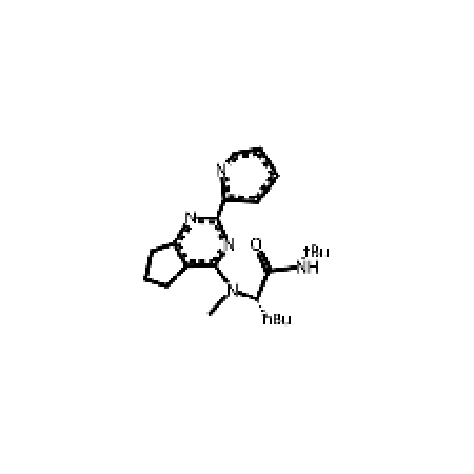 CCCC[C@@H](C(=O)NC(C)(C)C)N(C)c1nc(-c2ccccn2)nc2c1CCC2